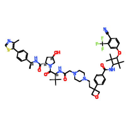 Cc1ncsc1-c1ccc([C@H](C)NC(=O)[C@@H]2C[C@@H](O)CN2C(=O)[C@@H](NC(=O)CN2CCN(CCC3(c4ccc(C(=O)NC5C(C)(C)C(Oc6ccc(C#N)c(C(F)(F)F)c6)C5(C)C)cc4)COC3)CC2)C(C)(C)C)cc1